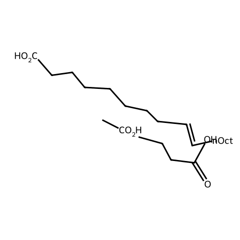 CC(=O)O.CCCC(=O)O.CCCCCCCCC=CCCCCCCCC(=O)O